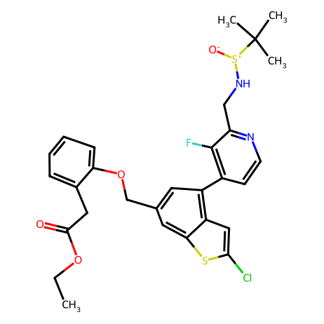 CCOC(=O)Cc1ccccc1OCc1cc(-c2ccnc(CN[S+]([O-])C(C)(C)C)c2F)c2cc(Cl)sc2c1